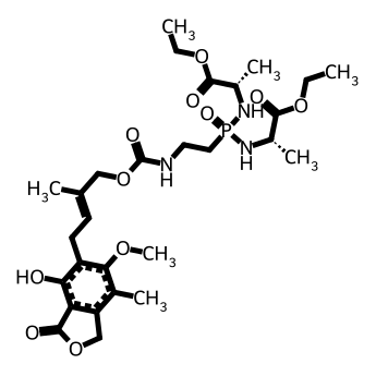 CCOC(=O)[C@H](C)NP(=O)(CCNC(=O)OC/C(C)=C/Cc1c(O)c2c(c(C)c1OC)COC2=O)N[C@@H](C)C(=O)OCC